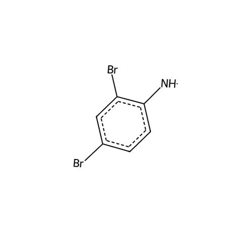 [NH]c1ccc(Br)cc1Br